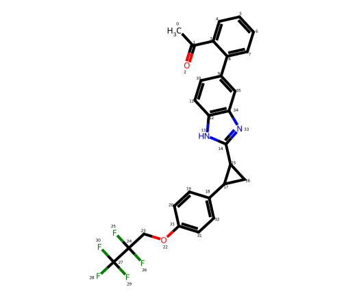 CC(=O)c1ccccc1-c1ccc2[nH]c(C3CC3c3ccc(OCC(F)(F)C(F)(F)F)cc3)nc2c1